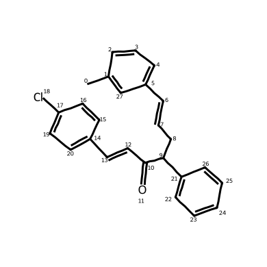 Cc1cccc(C=CCC(C(=O)C=Cc2ccc(Cl)cc2)c2ccccc2)c1